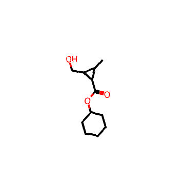 CC1C(CO)C1C(=O)OC1CCCCC1